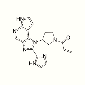 C=CC(=O)N1CCC(n2c(-c3ncc[nH]3)nc3cnc4[nH]ccc4c32)C1